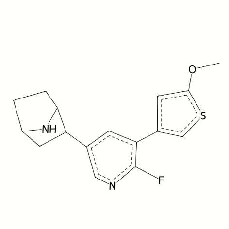 COc1cc(-c2cc(C3CC4CCC3N4)cnc2F)cs1